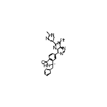 CCn1c(-c2cnc(C)nc2)nc2c(-c3ccc4c(c3)[C@@](C)(Cc3ccccc3)NC4=O)ncnc21